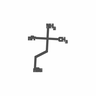 CCCCCCC(C)(N)CCC